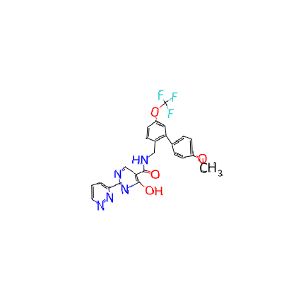 COc1ccc(-c2cc(OC(F)(F)F)ccc2CNC(=O)c2cnc(-c3cccnn3)nc2O)cc1